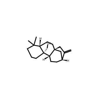 C=C1C[C@]23CC[C@H]4C(C)(C)CCC[C@]4(CO)[C@H]2CC[C@@H]1C3